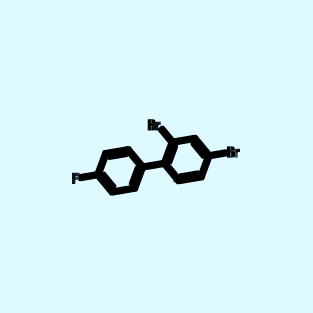 Fc1ccc(-c2[c]cc(Br)cc2Br)cc1